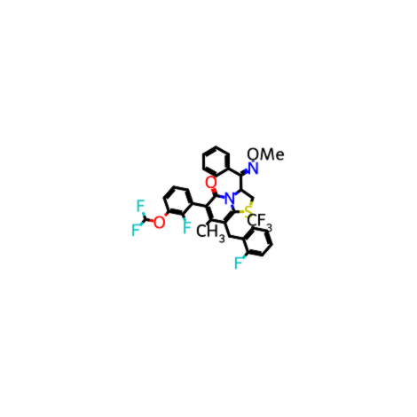 CO/N=C(\c1ccccc1)C1CSc2c(Cc3c(F)cccc3C(F)(F)F)c(C)c(-c3cccc(OC(F)F)c3F)c(=O)n21